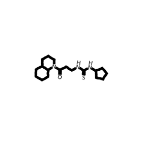 O=C(CCNC(=S)NC1CCCC1)N1CCCC2CCCCC21